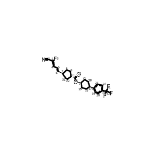 N#CC(F)=CC=C[C@H]1CC[C@H](C(=O)O[C@H]2CC[C@H](c3ccc(C(F)(F)F)cc3)CC2)CC1